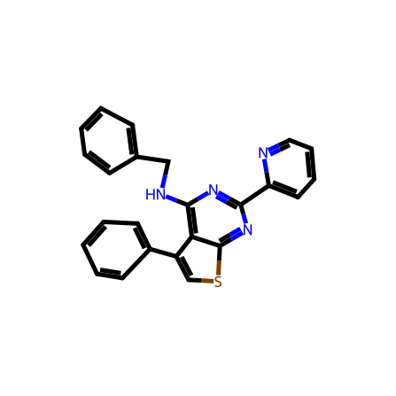 c1ccc(CNc2nc(-c3ccccn3)nc3scc(-c4ccccc4)c23)cc1